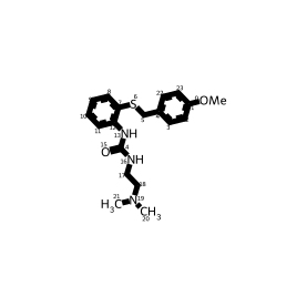 COc1ccc(CSc2ccccc2NC(=O)NCCN(C)C)cc1